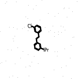 CC(C)c1cccc(CCc2cccc(Cl)c2)c1